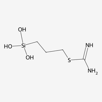 N=C(N)SCCC[Si](O)(O)O